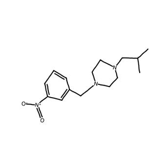 C[C](C)CN1CCN(Cc2cccc([N+](=O)[O-])c2)CC1